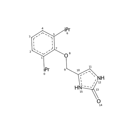 CC(C)c1cccc(C(C)C)c1OCc1c[nH]c(=O)[nH]1